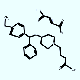 COc1ccc(C(OC2CCN(CCCC(=O)O)CC2)c2ccccc2)cc1.O=C(O)/C=C/C(=O)O